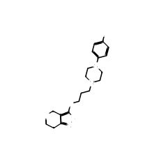 Cc1ccc(N2CCN(CCCSc3[nH]nc4c3COCC4)CC2)cc1